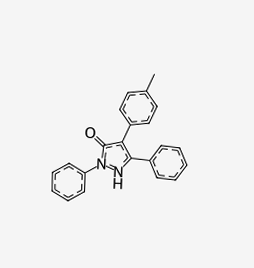 Cc1ccc(-c2c(-c3ccccc3)[nH]n(-c3ccccc3)c2=O)cc1